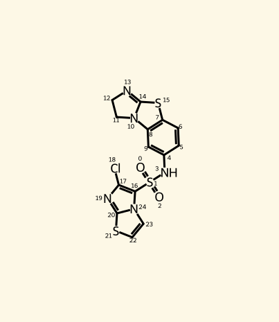 O=S(=O)(Nc1ccc2c(c1)N1CCN=C1S2)c1c(Cl)nc2sccn12